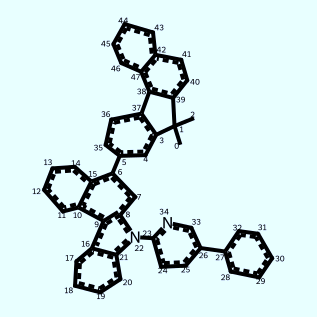 CC1(C)c2cc(-c3cc4c(c5ccccc35)c3ccccc3n4-c3ccc(-c4ccccc4)cn3)ccc2-c2c1ccc1ccccc21